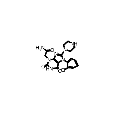 NC(=O)Cn1c(=O)[nH]c(=O)c2c1nc(N1CCNCC1)n2-c1ccccc1Cl